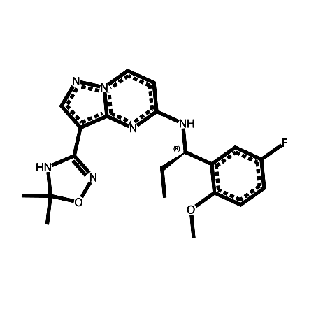 CC[C@@H](Nc1ccn2ncc(C3=NOC(C)(C)N3)c2n1)c1cc(F)ccc1OC